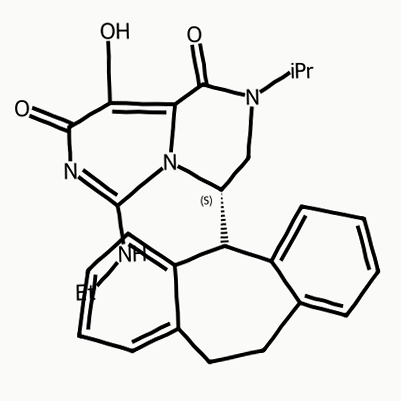 CCNc1nc(=O)c(O)c2n1[C@@H](C1c3ccccc3CCc3ccccc31)CN(C(C)C)C2=O